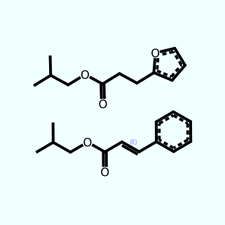 CC(C)COC(=O)/C=C/c1ccccc1.CC(C)COC(=O)CCc1ccco1